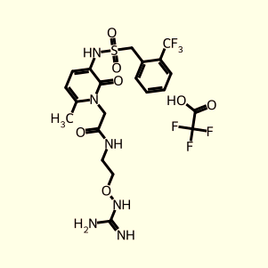 Cc1ccc(NS(=O)(=O)Cc2ccccc2C(F)(F)F)c(=O)n1CC(=O)NCCONC(=N)N.O=C(O)C(F)(F)F